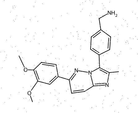 COc1ccc(-c2ccc3nc(C)c(-c4ccc(CN)cc4)n3n2)cc1OC